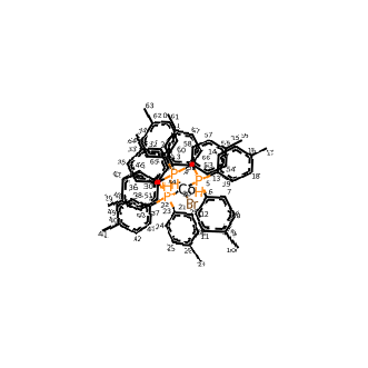 Cc1ccc([PH](c2ccc(C)cc2)(c2ccc(C)cc2)[Co]([Br])([PH](c2ccc(C)cc2)(c2ccc(C)cc2)c2ccc(C)cc2)[PH](c2ccc(C)cc2)(c2ccc(C)cc2)c2ccc(C)cc2)cc1